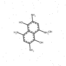 Cl.Nc1cc(N)c2c(O)c(N)cc(N)c2c1O